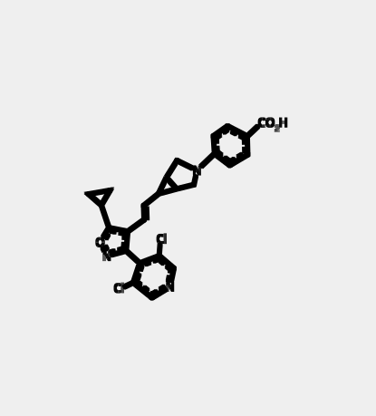 O=C(O)c1ccc(N2CC3C(/C=C/c4c(-c5c(Cl)cncc5Cl)noc4C4CC4)C3C2)cc1